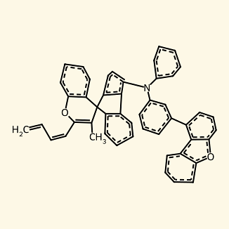 C=C/C=C\C1=C(C)C2(c3ccccc3O1)c1ccccc1-c1c(N(c3ccccc3)c3cccc(-c4cccc5oc6ccccc6c45)c3)cccc12